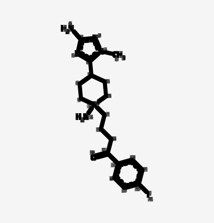 Cn1nc(N)nc1C1CC[N+](N)(CCCC(=O)c2ccc(F)cc2)CC1